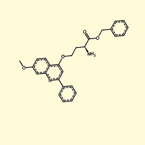 COc1ccc2c(OCC[C@H](N)C(=O)OCc3ccccc3)cc(-c3ccccc3)nc2c1